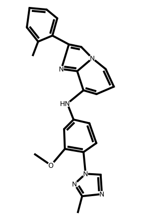 COc1cc(Nc2cccn3cc(-c4ccccc4C)nc23)ccc1-n1cnc(C)n1